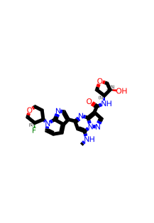 CNc1cc(-c2cnc3n(C4CCOC[C@H]4F)cccc2-3)nc2c(C(=O)N[C@H]3COC[C@H]3O)cnn12